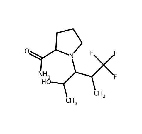 CC(O)C(C(C)C(F)(F)F)N1CCCC1C(N)=O